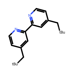 CC(C)(C)Cc1ccnc(-c2cc(CC(C)(C)C)ccn2)c1